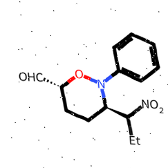 CCC([C@H]1CC[C@H](C=O)ON1c1ccccc1)[N+](=O)[O-]